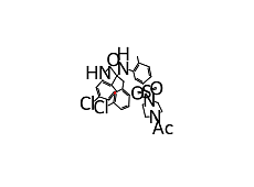 CC(=O)N1CCN(S(=O)(=O)c2ccc(C)c(NC3(Cc4cccc(Cl)c4)C(=O)Nc4cc(Cl)ccc43)c2)CC1